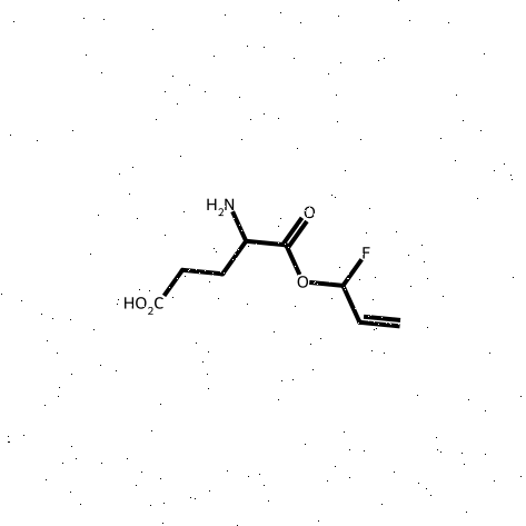 C=CC(F)OC(=O)C(N)CCC(=O)O